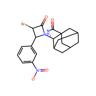 NC(=O)C12CC3CC(CC(C3)C1N1C(=O)C(Br)C1c1cccc([N+](=O)[O-])c1)C2